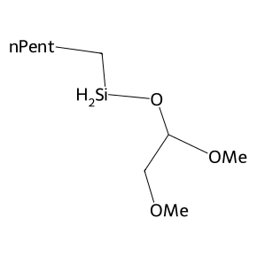 CCCCCC[SiH2]OC(COC)OC